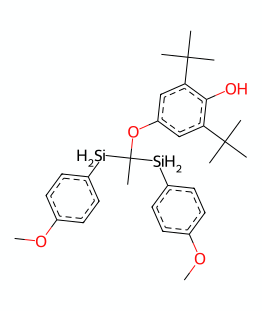 COc1ccc([SiH2]C(C)(Oc2cc(C(C)(C)C)c(O)c(C(C)(C)C)c2)[SiH2]c2ccc(OC)cc2)cc1